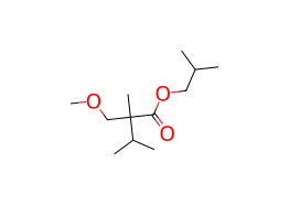 COCC(C)(C(=O)OCC(C)C)C(C)C